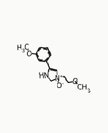 COCC[N+]1([O-])C=C(c2cccc(OC)c2)NC1